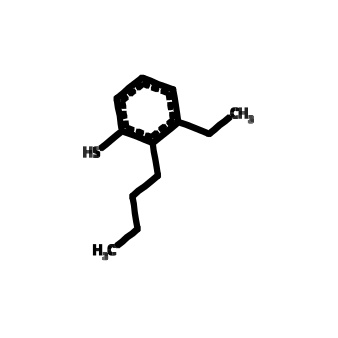 CCCCc1c(S)cccc1CC